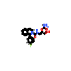 NC(=O)O[C@@H](CO)CNC(=O)N1CCc2ccccc2[C@@H]1c1ccc(F)cc1